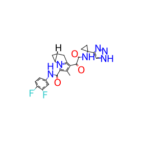 Cc1c(C(=O)C(=O)NC2(c3c[nH]nn3)CC2)c2n(c1C(=O)Nc1ccc(F)c(F)c1)C1C[C@@H]1C2